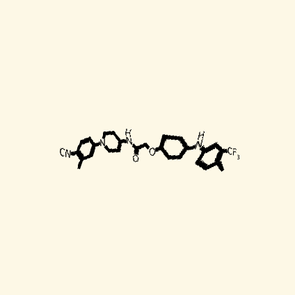 [C-]#[N+]c1ccc(N2CCC(NC(=O)COC3CCC(Nc4ccc(C)c(C(F)(F)F)c4)CC3)CC2)cc1C